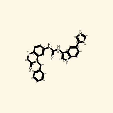 O=C(Nc1ccc2c(c1)N(Cc1ccccc1)C(=O)CS2)Nc1c[nH]c2ccc(-c3cnco3)cc12